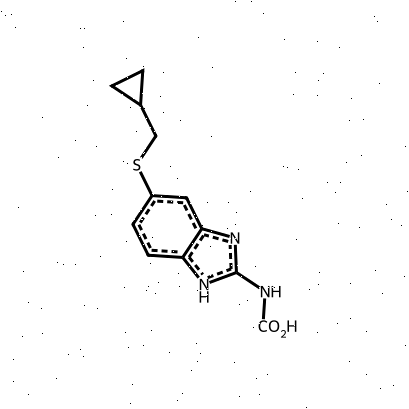 O=C(O)Nc1nc2cc(SCC3CC3)ccc2[nH]1